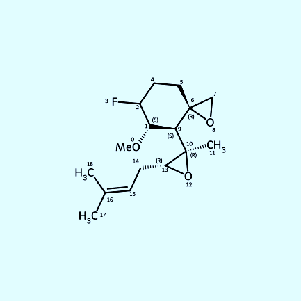 CO[C@@H]1C(F)CC[C@]2(CO2)[C@H]1[C@@]1(C)O[C@@H]1CC=C(C)C